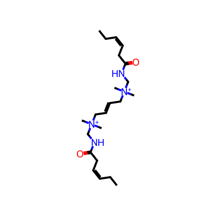 CC/C=C\CC(=O)NC[N+](C)(C)C/C=C/C[N+](C)(C)CNC(=O)C/C=C\CC